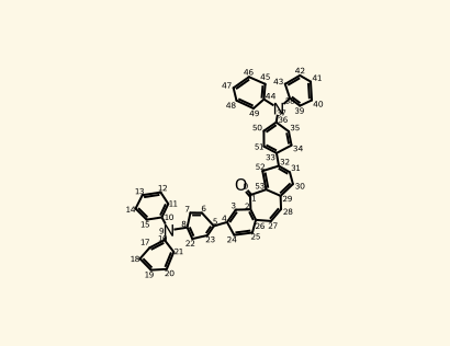 O=c1c2cc(-c3ccc(N(c4ccccc4)c4ccccc4)cc3)ccc2ccc2ccc(-c3ccc(N(c4ccccc4)c4ccccc4)cc3)cc12